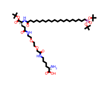 CC(C)(C)OC(=O)[C@H](CCC(=O)NCCOCCOCC(=O)NCCCC[C@H](N)C(=O)O)NC(=O)CCCCCCCCCCCCCCCCCCCP(=O)(OC(C)(C)C)OC(C)(C)C